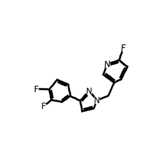 Fc1ccc(Cn2ccc(-c3ccc(F)c(F)c3)n2)cn1